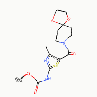 Cc1nc(NC(=O)OC(C)(C)C)sc1C(=O)N1CCC2(CC1)OCCO2